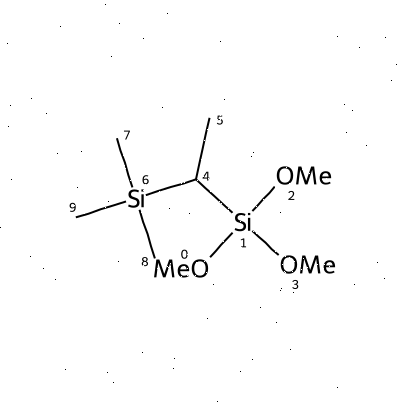 CO[Si](OC)(OC)C(C)[Si](C)(C)C